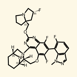 Cn1ncc2ccc(F)c(-c3c(F)c4c5c(nc(OC[C@@]67CCCN6C[C@H](F)C7)nc5c3F)N3C[C@H]5CCC[C@H](N5)[C@H]3CO4)c21